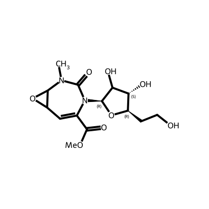 COC(=O)C1=CC2OC2N(C)C(=O)N1[C@@H]1O[C@H](CCO)[C@@H](O)C1O